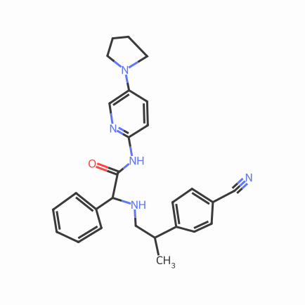 CC(CNC(C(=O)Nc1ccc(N2CCCC2)cn1)c1ccccc1)c1ccc(C#N)cc1